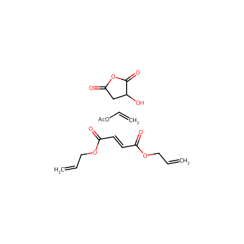 C=CCOC(=O)C=CC(=O)OCC=C.C=COC(C)=O.O=C1CC(O)C(=O)O1